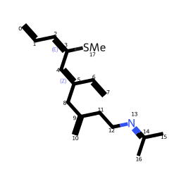 C=C/C=C(\C=C(/C=C)CC(=C)CCN=C(C)C)SC